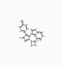 Cn1ncc(-c2ncn3ncnc(N4CCC4)c23)c1-c1ccc(Cl)cc1